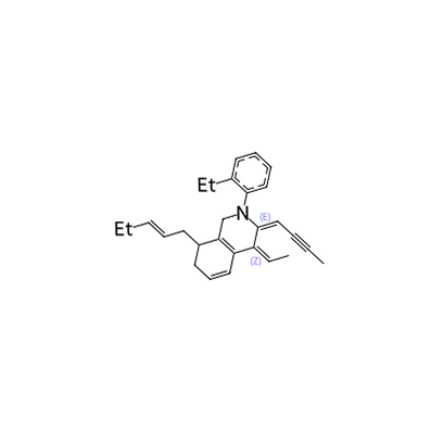 CC#C/C=C1\C(=C/C)C2=C(CN1c1ccccc1CC)C(CC=CCC)CC=C2